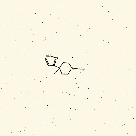 CCCCN1CCC(C)(c2cc[nH]n2)CC1